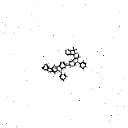 CC1(C)c2ccccc2-c2c1ccc1c2c2cc(-c3ccc4c5cc6c(cc5n(-c5ccccc5)c4c3)oc3ccccc36)ccc2n1-c1ccccc1